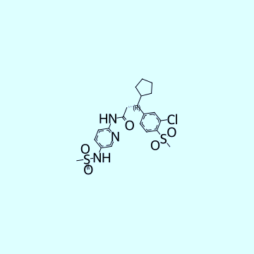 CS(=O)(=O)Nc1ccc(NC(=O)C[C@@H](c2ccc(S(C)(=O)=O)c(Cl)c2)C2CCCC2)nc1